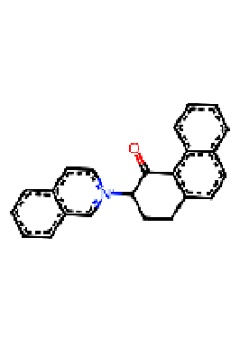 O=C1c2c(ccc3ccccc23)CCC1[n+]1ccc2ccccc2c1